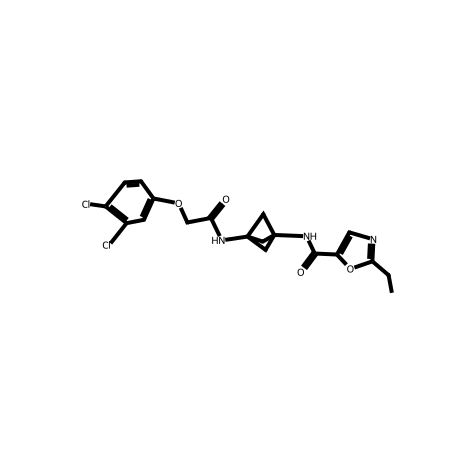 CCc1ncc(C(=O)NC23CC(NC(=O)COc4ccc(Cl)c(Cl)c4)(C2)C3)o1